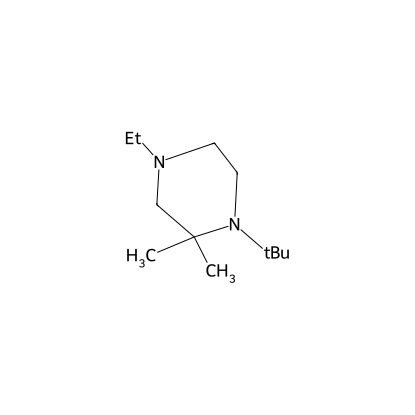 CCN1CCN(C(C)(C)C)C(C)(C)C1